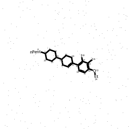 CCCCCC1CCC(C2CC=C(c3ccc(OCC)c(I)c3I)CC2)CC1